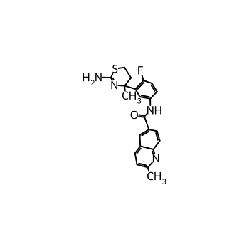 Cc1ccc2cc(C(=O)Nc3ccc(F)c(C4(C)CCSC(N)=N4)c3)ccc2n1